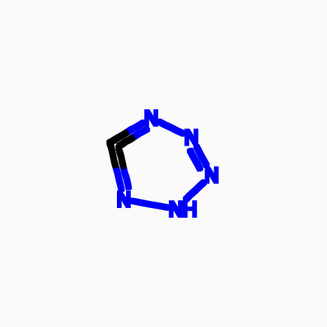 C1=NN=NNN=1